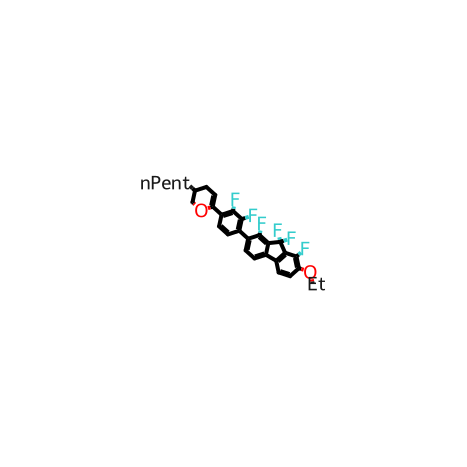 CCCCCC1CC=C(c2ccc(-c3ccc4c(c3F)C(F)(F)c3c-4ccc(OCC)c3F)c(F)c2F)OC1